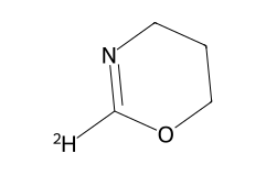 [2H]C1=NCCCO1